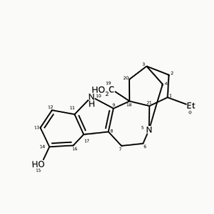 CCC1CC2CN3CCc4c([nH]c5ccc(O)cc45)C(C(=O)O)(C2)C13